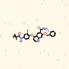 CC1(C(=O)Nc2ccc(Oc3ccnc4cc(OCc5ccccc5)c(C(N)=O)cc34)c(F)c2)CC1